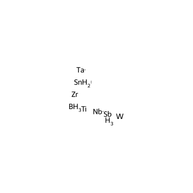 B.[Nb].[SbH3].[SnH2].[Ta].[Ti].[W].[Zr]